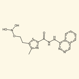 Cc1nc(C(=O)NNc2nncc3ccccc23)sc1CCON(O)O